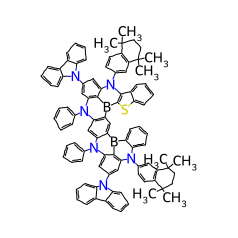 CC1(C)CCC(C)(C)c2cc(N3c4ccccc4B4c5cc6c(cc5N(c5ccccc5)c5cc(-n7c8ccccc8c8ccccc87)cc3c54)N(c3ccccc3)c3cc(-n4c5ccccc5c5ccccc54)cc4c3B6c3sc5ccccc5c3N4c3ccc4c(c3)C(C)(C)CCC4(C)C)ccc21